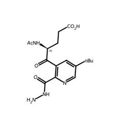 CCCCc1cnc(C(=O)NN)c(C(=O)[C@H](CCC(=O)O)NC(C)=O)c1